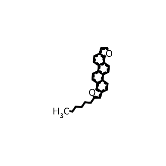 CCCCCCc1cc2ccc3c4ccc5c(ccc6ccoc65)c4ccc3c2o1